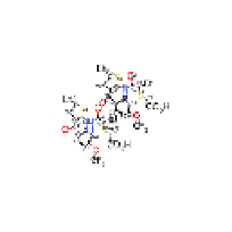 CCc1cc(C(=O)c2ccc(OC(F)(F)F)cc2)c(NC(=O)C(CC)SC(C)C(=O)O)s1.CCc1cc(C(=O)c2ccc(OC(F)(F)F)cc2)c(NC(=O)C(CC)SCC(=O)O)s1